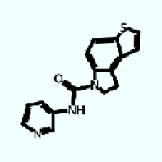 O=C(Nc1cccnc1)N1CCc2c1ccc1sccc21